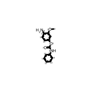 COc1cc(OC(=O)Nc2ccccc2)ccc1N